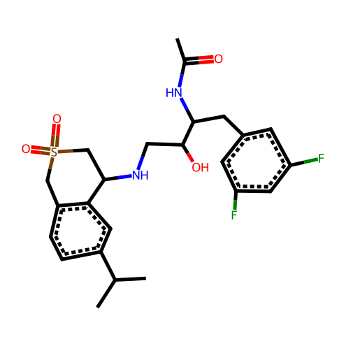 CC(=O)NC(Cc1cc(F)cc(F)c1)C(O)CNC1CS(=O)(=O)Cc2ccc(C(C)C)cc21